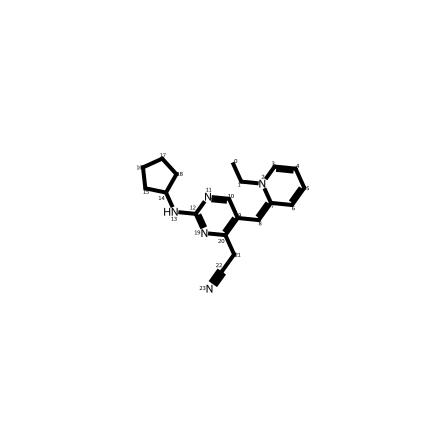 CCN1C=CC=CC1=Cc1cnc(NC2CCCC2)nc1CC#N